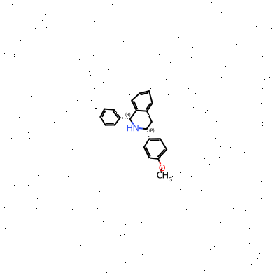 COc1ccc([C@H]2Cc3ccccc3[C@@H](c3ccccc3)N2)cc1